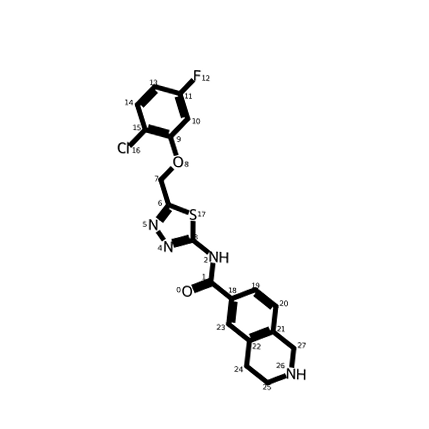 O=C(Nc1nnc(COc2cc(F)ccc2Cl)s1)c1ccc2c(c1)CCNC2